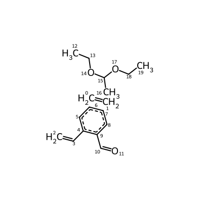 C=C.C=Cc1ccccc1C=O.CCOC(C)OCC